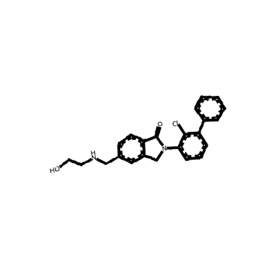 O=C1c2ccc(CNCCO)cc2CN1c1cccc(-c2ccccc2)c1Cl